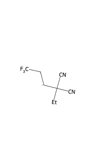 CCC(C#N)(C#N)[CH]CC(F)(F)F